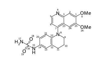 COc1cc2nccc(N3CCCc4cc(NS(N)(=O)=O)ccc43)c2cc1OC